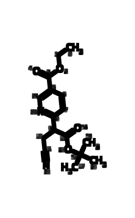 CCOC(=O)c1ccc(C(CC#N)C(=O)OC(C)(C)C)nc1